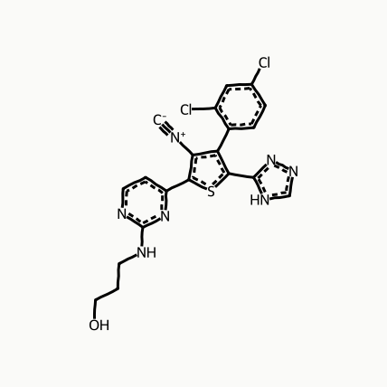 [C-]#[N+]c1c(-c2ccnc(NCCCO)n2)sc(-c2nnc[nH]2)c1-c1ccc(Cl)cc1Cl